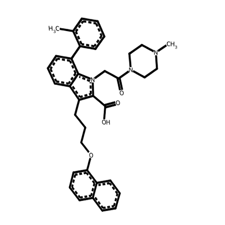 Cc1ccccc1-c1cccc2c(CCCOc3cccc4ccccc34)c(C(=O)O)n(CC(=O)N3CCN(C)CC3)c12